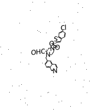 O=CC1CN(S(=O)(=O)c2cc3ccc(Cl)cc3s2)CCN1Cc1ccc2cnccc2c1